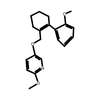 COc1ccc(OCC2=C(c3ccccc3OC)CCCC2)cn1